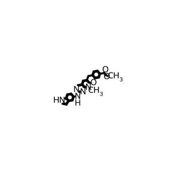 COC(=O)c1ccc(Cc2cc3cnc(Nc4ccc5[nH]ccc5c4)nc3n(C)c2=O)cc1